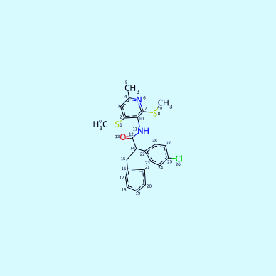 CSc1cc(C)nc(SC)c1NC(=O)C(Cc1ccccc1)c1ccc(Cl)cc1